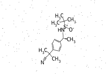 C[C@H](N[S+]([O-])C(C)(C)C)c1ccc(C(C)(C)C#N)cc1